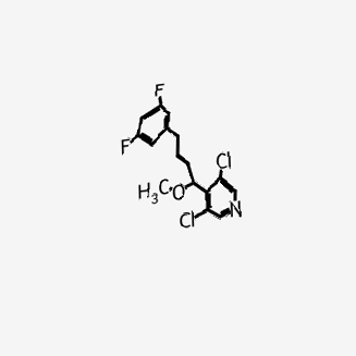 COC(CCCc1cc(F)cc(F)c1)c1c(Cl)cncc1Cl